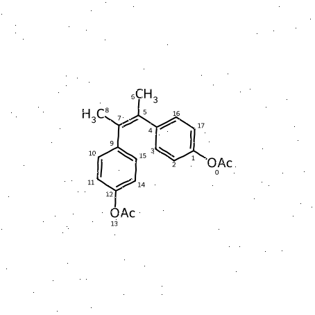 CC(=O)Oc1ccc(C(C)=C(C)c2ccc(OC(C)=O)cc2)cc1